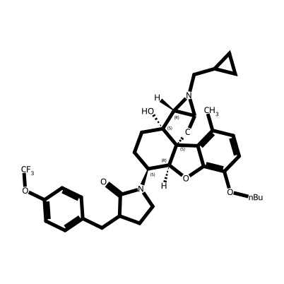 CCCCOc1ccc(C)c2c1O[C@H]1[C@@H](N3CCC(Cc4ccc(OC(F)(F)F)cc4)C3=O)CC[C@@]3(O)[C@H]4C(C[C@]213)N4CC1CC1